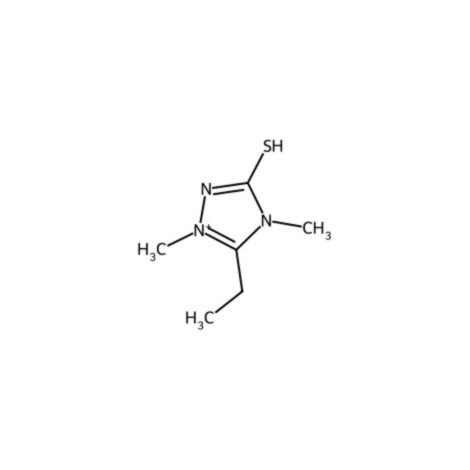 CCc1n(C)c(S)n[n+]1C